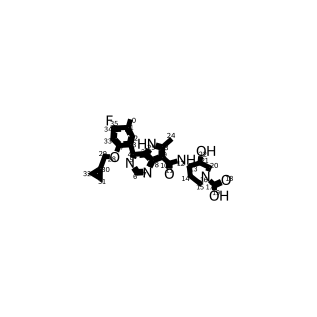 Cc1cc(-c2ncnc3c(C(=O)NC4CCN(C(=O)O)CC4O)c(C)[nH]c23)c(OCC2CC2)cc1F